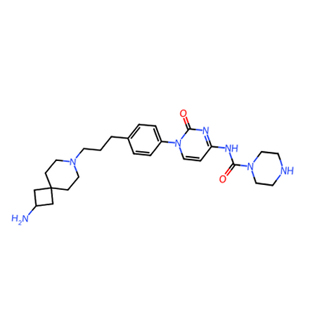 NC1CC2(CCN(CCCc3ccc(-n4ccc(NC(=O)N5CCNCC5)nc4=O)cc3)CC2)C1